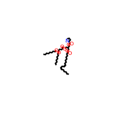 CCCCC/C=C\C/C=C\CCCCCCCC(=O)OCC(COC(=O)CCC(OCCCCCCCC)OCCCCCCCC)COC(=O)[C@@H]1CCCN1C